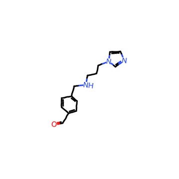 O=Cc1ccc(CNCCCn2ccnc2)cc1